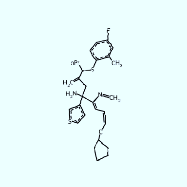 C=N/C(=C\C=C/CC1CCCC1)C(N)(CC(=C)C(CCC)Sc1ccc(F)cc1C)c1ccsc1